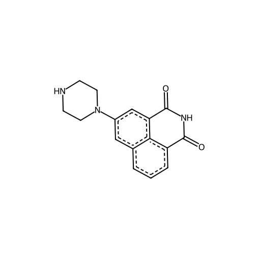 O=C1NC(=O)c2cc(N3CCNCC3)cc3cccc1c23